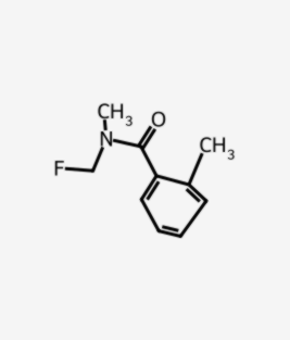 Cc1ccccc1C(=O)N(C)CF